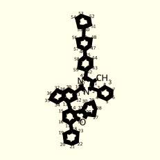 Cc1c(-c2ccccc2)nc(-c2cc(-c3ccc(-c4ccccc4)c4oc5ccccc5c34)c3ccccc3c2)nc1-c1ccc(-c2ccc(-c3ccccc3)cc2)cc1